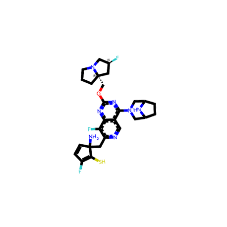 NC1(Cc2ncc3c(N4CC5CCC(C4)N5)nc(OC[C@]45CCCN4C[C@@H](F)C5)nc3c2F)C=CC(F)=C1S